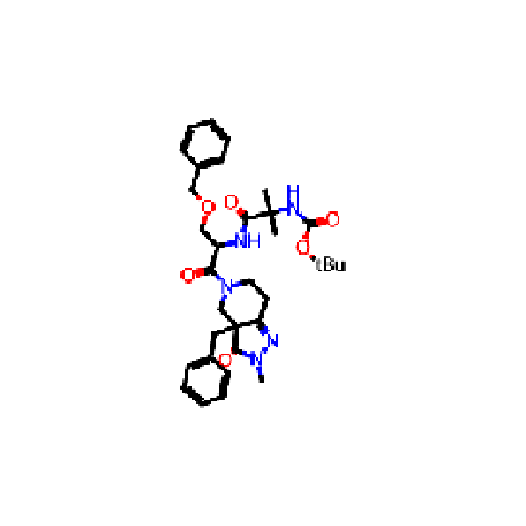 CN1N=C2CCN(C(=O)C(COCc3ccccc3)NC(=O)C(C)(C)NC(=O)OC(C)(C)C)CC2(Cc2ccccc2)C1=O